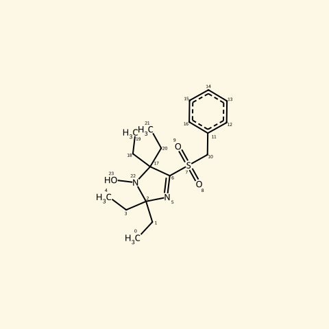 CCC1(CC)N=C(S(=O)(=O)Cc2ccccc2)C(CC)(CC)N1O